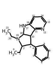 CCC1C(c2ccccc2)C2c3ncccc3NC2N1CC